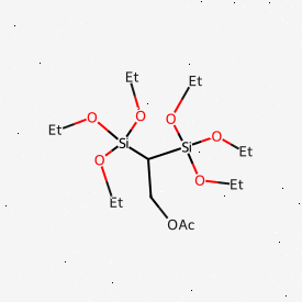 CCO[Si](OCC)(OCC)C(COC(C)=O)[Si](OCC)(OCC)OCC